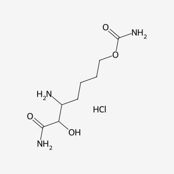 Cl.NC(=O)OCCCCC(N)C(O)C(N)=O